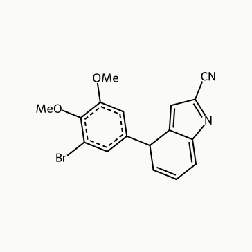 COc1cc(C2C=CC=C3N=C(C#N)C=C32)cc(Br)c1OC